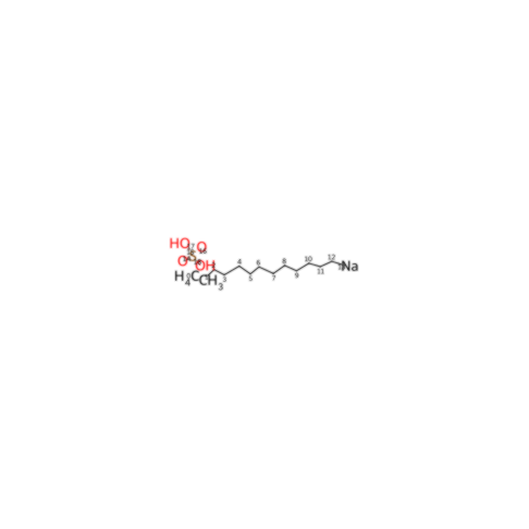 C.CCCCCCCCCCC[CH2][Na].O=S(=O)(O)O